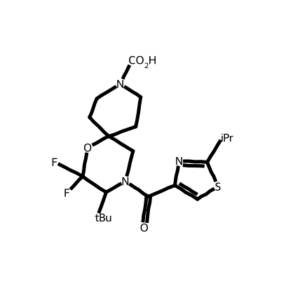 CC(C)c1nc(C(=O)N2CC3(CCN(C(=O)O)CC3)OC(F)(F)C2C(C)(C)C)cs1